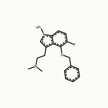 CCCn1cc(CCN(C)C)c2c(OCc3ccccc3)c(F)ccc21